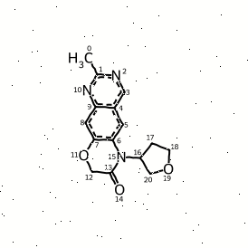 Cc1ncc2cc3c(cc2n1)OCC(=O)N3C1CCOC1